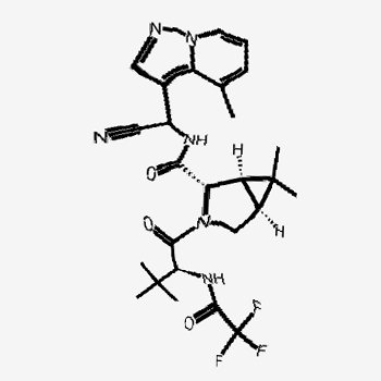 Cc1cccn2ncc(C(C#N)NC(=O)[C@@H]3[C@@H]4[C@H](CN3C(=O)[C@@H](NC(=O)C(F)(F)F)C(C)(C)C)C4(C)C)c12